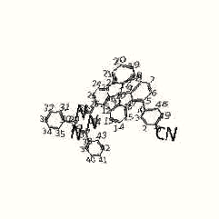 N#Cc1ccc(-c2cccc(C3(c4ccccc4)c4ccccc4-c4ccc(-c5nc(-c6ccccc6)nc(-c6ccccc6)n5)cc43)c2)cc1